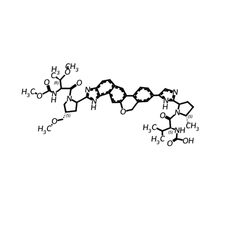 COC[C@H]1CC(c2nc3ccc4cc5c(cc4c3[nH]2)OCc2cc(-c3cnc(C4CC[C@H](C)N4C(=O)[C@@H](NC(=O)O)C(C)C)[nH]3)ccc2-5)N(C(=O)C(NC(=O)OC)[C@@H](C)OC)C1